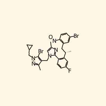 Cc1cn(Cc2c(C)nn(CC3CC3)c2Br)c(-c2ccc(F)cc2[C@@H](C)Cc2cc(Br)ccc2N=O)n1